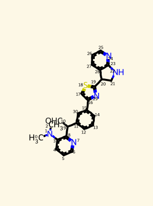 CN(C)c1cccnc1C(C=O)c1cccc(-c2csc(C3CNc4ncccc43)n2)c1